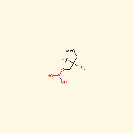 COCC(C)(C)COP(O)O